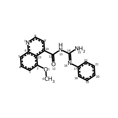 COc1cccc2nccc(C(=O)NC(N)=Nc3ccccc3)c12